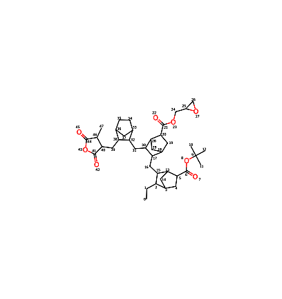 CCC1C2CC(C(=O)OC(C)(C)C)C(C2)C1CC1C2CC(C(=O)OCC3CO3)C(C2)C1CC1C2CCC(C2)C1CC1C(=O)OC(=O)C1C